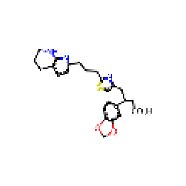 O=C(O)C[C@H](Cc1csc(CCCc2ccc3c(n2)NCCC3)n1)c1ccc2c(c1)OCO2